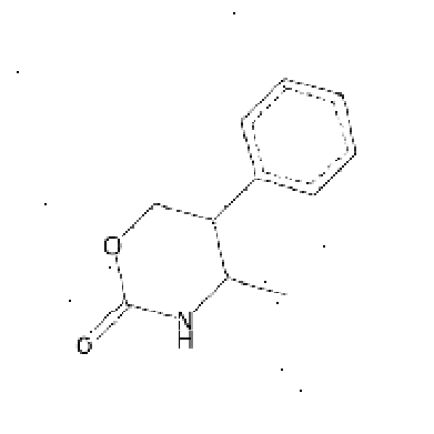 CC1NC(=O)OCC1c1ccccc1